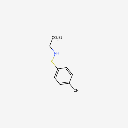 CCOC(=O)CNSc1ccc(C#N)cc1